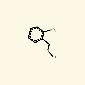 CC(C)OCc1ccccc1[N+](=O)[O-]